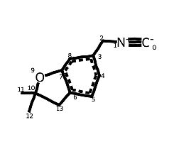 [C-]#[N+]Cc1ccc2c(c1)OC(C)(C)C2